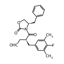 Cc1cc(C[C@@H](CC=O)C(=O)N2C(=O)OC[C@H]2Cc2ccccc2)cc(C)c1F